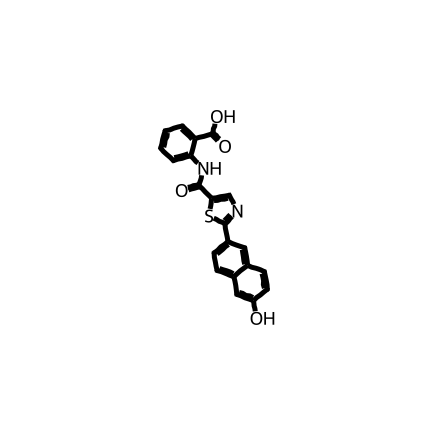 O=C(Nc1ccccc1C(=O)O)c1cnc(-c2ccc3cc(O)ccc3c2)s1